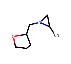 N#CC1CN1CC1CCCO1